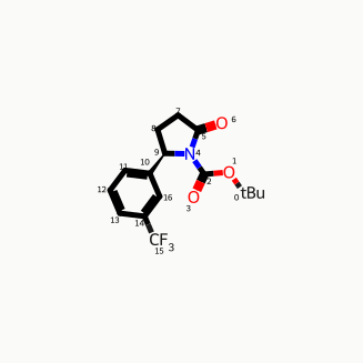 CC(C)(C)OC(=O)N1C(=O)CC[C@@H]1c1cccc(C(F)(F)F)c1